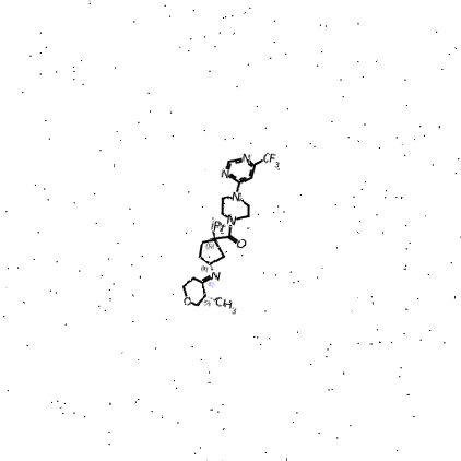 CC(C)[C@]1(C(=O)N2CCN(c3cc(C(F)(F)F)ncn3)CC2)CC[C@@H](/N=C2\CCOC[C@H]2C)C1